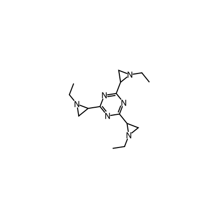 CCN1CC1c1nc(C2CN2CC)nc(C2CN2CC)n1